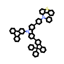 c1ccc(N(c2ccc(-c3ccc4c(c3)c3cc(-c5ccc6c(c5)C(c5ccccc5)(c5ccccc5)c5ccccc5-6)ccc3n4-c3ccc4c5ccccc5c5ccccc5c4c3)cc2)c2cccc3sc4ccccc4c23)cc1